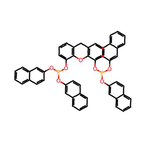 c1cc2c(c(OP(Oc3ccc4ccccc4c3)Oc3ccc4ccccc4c3)c1)Oc1c(cccc1OP(Oc1ccc3ccccc3c1)Oc1ccc3ccccc3c1)C2